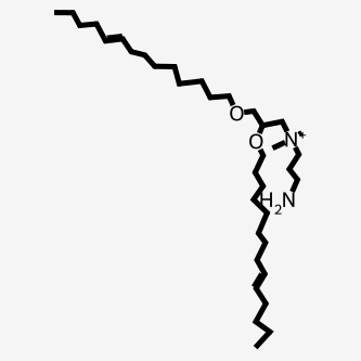 CCCCC=CCCCCCCCCOCC(C[N+](C)(C)CCCN)OCCCCCCCCC=CCCCC